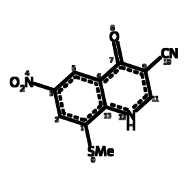 CSc1cc([N+](=O)[O-])cc2c(=O)c(C#N)c[nH]c12